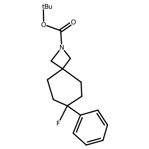 CC(C)(C)OC(=O)N1CC2(CCC(F)(c3ccccc3)CC2)C1